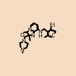 CCc1cccc(C)c1CNC1=CC=CN2C1=NC(C)(C(=O)N1CCN(C)CC1)C2C